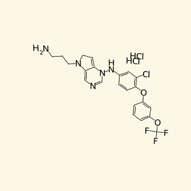 Cl.Cl.NCCCN1CC=C2C1=CN=CN2Nc1ccc(Oc2cccc(OC(F)(F)F)c2)c(Cl)c1